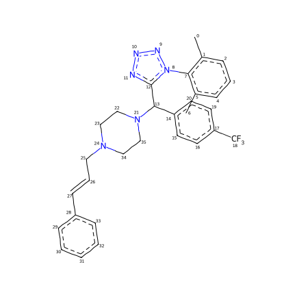 Cc1cccc(C)c1-n1nnnc1C(c1ccc(C(F)(F)F)cc1)N1CCN(C/C=C/c2ccccc2)CC1